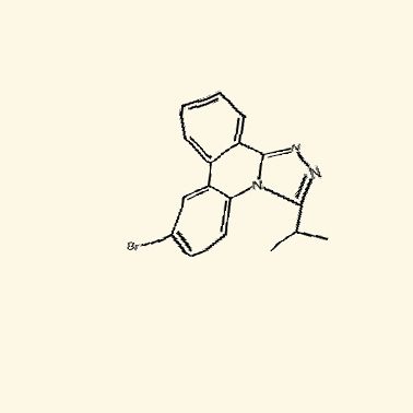 CC(C)c1nnc2c3ccccc3c3cc(Br)ccc3n12